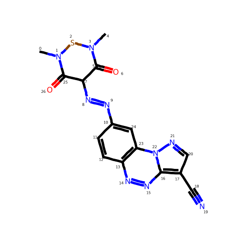 CN1SN(C)C(=O)C(/N=N/c2ccc3nnc4c(C#N)cnn4c3c2)C1=O